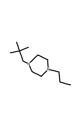 CCCN1CCN(CC(C)(C)C)CC1